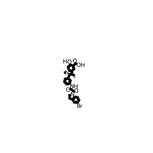 Cn1c(-c2cccc(NC(=O)C(=O)N3CCc4cc(Br)ccc43)c2)c(I)c2cc(C(=O)O)c(O)cc21